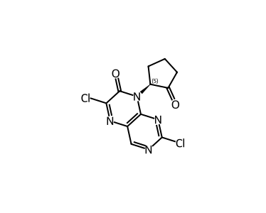 O=C1CCC[C@@H]1n1c(=O)c(Cl)nc2cnc(Cl)nc21